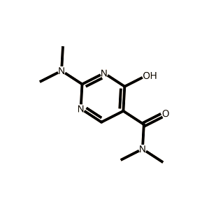 CN(C)C(=O)c1cnc(N(C)C)nc1O